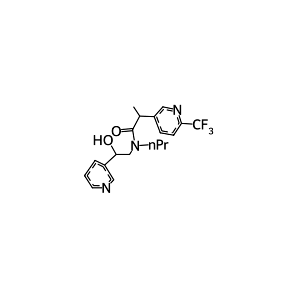 CCCN(CC(O)c1cccnc1)C(=O)C(C)c1ccc(C(F)(F)F)nc1